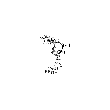 CC[C@H](O)[C@@H](C)[C@H]1O[C@@H]1C[C@H](C)/C=C/C=C(\C)[C@H]1OC(=O)C[C@H](O)CC[C@@](C)(OC(C)=O)[C@@H](OC(=O)N2CCN(C)CC2)/C=C/[C@@H]1C